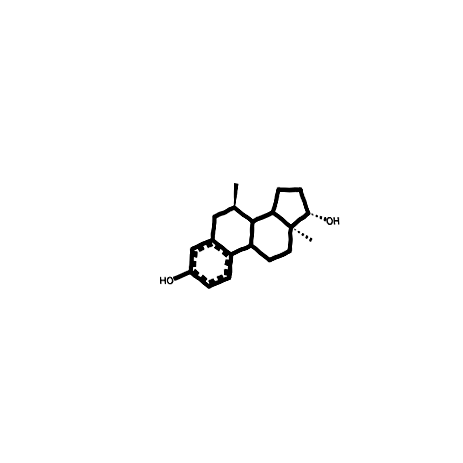 C[C@@H]1Cc2cc(O)ccc2C2CC[C@@]3(C)C(CC[C@@H]3O)C21